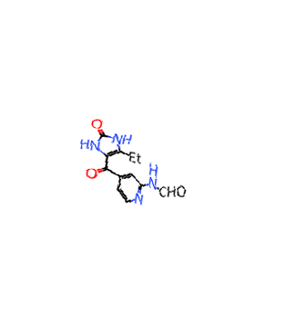 CCc1[nH]c(=O)[nH]c1C(=O)c1ccnc(NC=O)c1